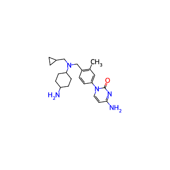 Cc1cc(-n2ccc(N)nc2=O)ccc1CN(CC1CC1)C1CCC(N)CC1